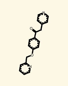 O=C(Cc1ccncc1)c1ccc(OCc2ccccn2)cc1